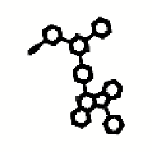 N#Cc1cccc(-c2cc(-c3ccc(-c4nc5ccccc5c5c4c4ccccc4n5-c4ccccc4)cc3)nc(-c3ccccc3)n2)c1